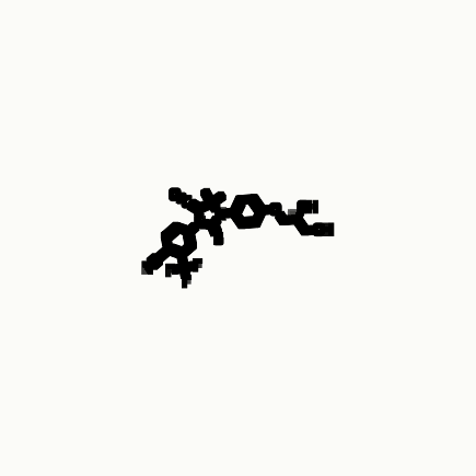 CC1(C)C(=C=O)N(c2ccc(C#N)c(C(F)(F)F)c2)C(=S)N1c1ccc(OC[C@@H](O)CO)cc1